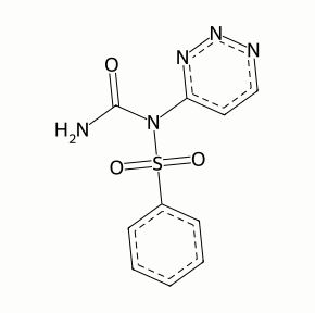 NC(=O)N(c1ccnnn1)S(=O)(=O)c1ccccc1